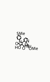 COCCOc1ncccc1C1C(C(=O)C(C)(C)C)=C(O)C(=O)N1c1ccc(SC)cc1